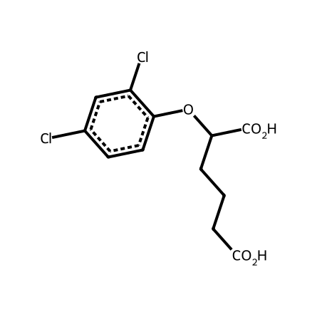 O=C(O)CCCC(Oc1ccc(Cl)cc1Cl)C(=O)O